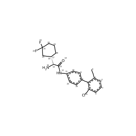 Cc1nccc(Cl)c1-c1ccc(NC(=O)C(N)[C@H]2CCCC(F)(F)C2)cc1